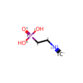 [C-]#[N+]CCP(=O)(O)O